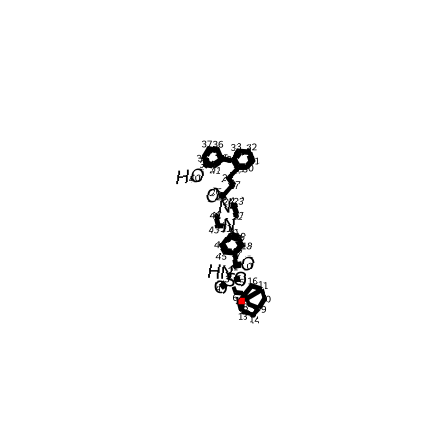 O=C(NS(=O)(=O)CC12CC3CC(CC(C3)C1)C2)c1ccc(N2CCN(C(=O)CCc3ccccc3-c3cccc(O)c3)CC2)cc1